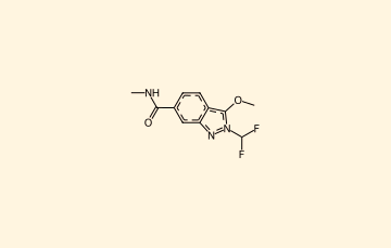 CNC(=O)c1ccc2c(OC)n(C(F)F)nc2c1